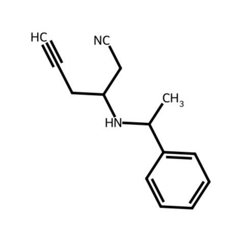 C#CCC(CC#N)NC(C)c1ccccc1